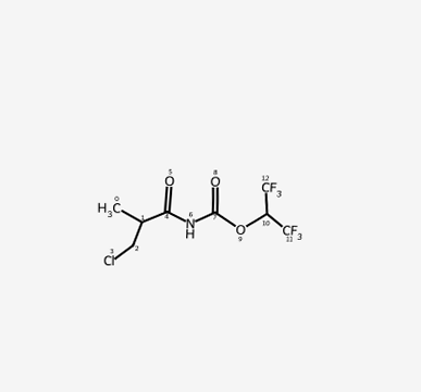 CC(CCl)C(=O)NC(=O)OC(C(F)(F)F)C(F)(F)F